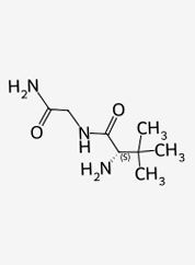 CC(C)(C)[C@H](N)C(=O)NCC(N)=O